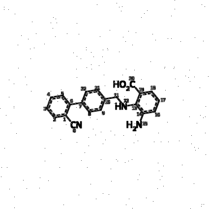 N#Cc1ccccc1-c1ccc(CNc2c(N)cccc2C(=O)O)cc1